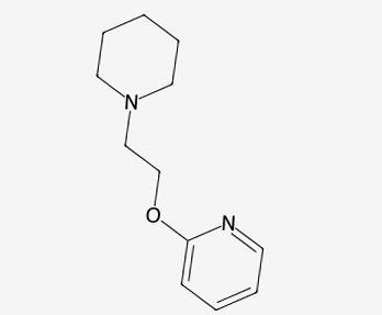 c1ccc(OCCN2CCCCC2)nc1